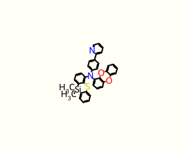 C[Si]1(C)c2ccccc2Sc2c(N(c3ccc(-c4ccccn4)cc3)c3cccc4c3Oc3ccccc3O4)cccc21